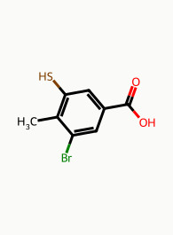 Cc1c(S)cc(C(=O)O)cc1Br